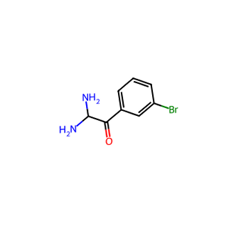 NC(N)C(=O)c1cccc(Br)c1